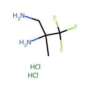 CC(N)(CN)C(F)(F)F.Cl.Cl